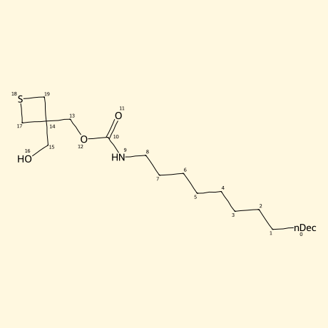 CCCCCCCCCCCCCCCCCCNC(=O)OCC1(CO)CSC1